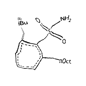 CCCCCCCCc1cccc([C@@H](C)CC)c1S(N)(=O)=O